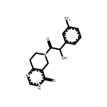 O=C(C(O)c1cccc(C(F)(F)F)c1)N1CCc2nc[nH]c(=O)c2C1